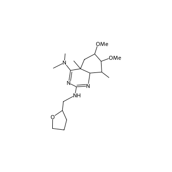 COC1CC2(C)C(N(C)C)=NC(NCC3CCCO3)=NC2C(C)C1OC